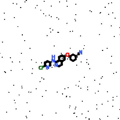 N#C[C@@H]1CCC[C@@H](Oc2ccc3c(Nc4ccc(Cl)nc4)nccc3c2)C1